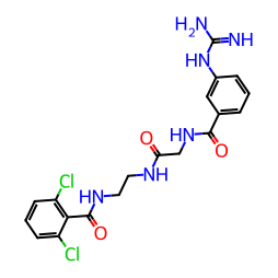 N=C(N)Nc1cccc(C(=O)NCC(=O)NCCNC(=O)c2c(Cl)cccc2Cl)c1